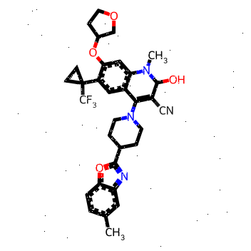 Cc1ccc2oc(C3CCN(C4=C(C#N)C(O)N(C)c5cc(OC6CCOC6)c(C6(C(F)(F)F)CC6)cc54)CC3)nc2c1